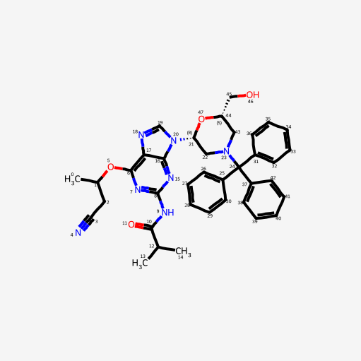 CC(CC#N)Oc1nc(NC(=O)C(C)C)nc2c1ncn2[C@H]1CN(C(c2ccccc2)(c2ccccc2)c2ccccc2)C[C@@H](CO)O1